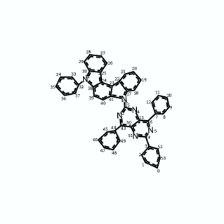 c1ccc(-c2nc(-c3ccccc3)c3nc(-n4c5ccccc5c5c6c7ccccc7n(-c7ccccc7)c6ccc54)nc(-c4ccccc4)c3n2)cc1